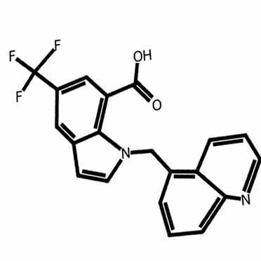 O=C(O)c1cc(C(F)(F)F)cc2ccn(Cc3cccc4ncccc34)c12